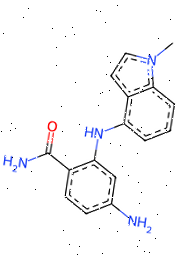 Cn1ccc2c(Nc3cc(N)ccc3C(N)=O)cccc21